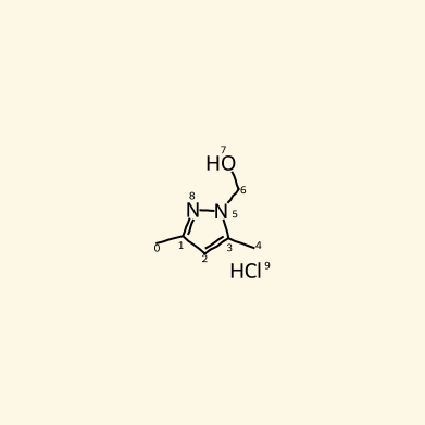 Cc1cc(C)n(CO)n1.Cl